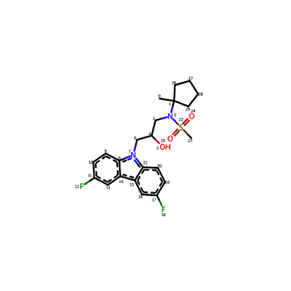 CC1(N(CC(O)Cn2c3ccc(F)cc3c3cc(F)ccc32)S(C)(=O)=O)CCCC1